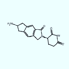 NC1Cc2cc3c(cc2C1)C(=O)N([C@@H]1CCC(=O)NC1=O)C3